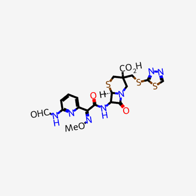 CON=C(C(=O)NC1C(=O)N2CC(CSc3nncs3)(C(=O)O)CS[C@H]12)c1cccc(NC=O)n1